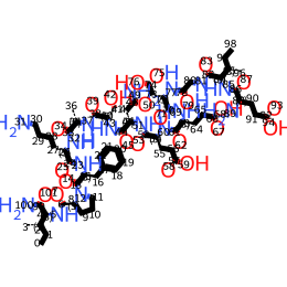 CC[C@H](C)[C@H](NC(=O)[C@@H]1CCCN1C(=O)[C@H](Cc1ccccc1)NC(=O)[C@H](CCCCN)NC(=O)[C@H](C)NC(=O)[C@H](CO)NC(=O)[C@H](CC(N)=O)NC(=O)[C@H](CCC(=O)O)NC(=O)[C@H](CCC(=O)O)NC(=O)[C@H](CC(=O)O)NC(=O)CNC(=O)[C@@H](NC(=O)[C@@H](N)CCC(=O)O)[C@@H](C)CC)C(N)=O